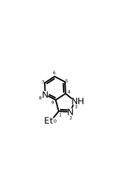 CCc1n[nH]c2cccnc12